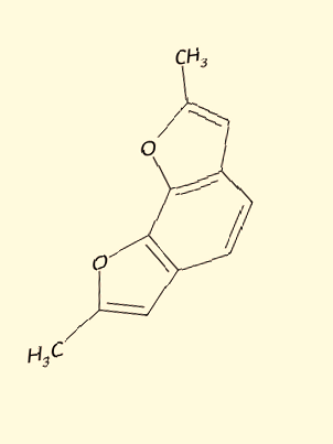 Cc1cc2ccc3cc(C)oc3c2o1